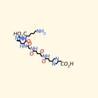 NCCCCC(NC(=O)C(Cc1cnc[nH]1)NC(=O)CNC(=O)CCC(=O)CNC(=O)CCC1=NCC(CC(=O)O)=NC1)C(=O)O